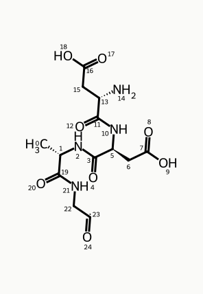 C[C@H](NC(=O)[C@H](CC(=O)O)NC(=O)[C@@H](N)CC(=O)O)C(=O)NC[C]=O